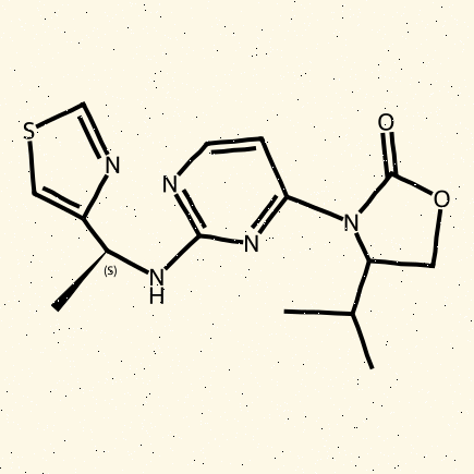 CC(C)C1COC(=O)N1c1ccnc(N[C@@H](C)c2cscn2)n1